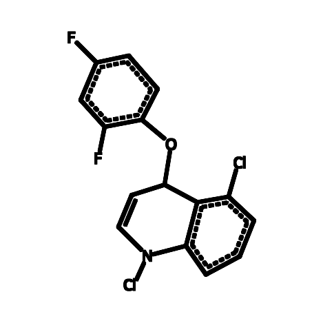 Fc1ccc(OC2C=CN(Cl)c3cccc(Cl)c32)c(F)c1